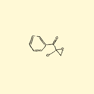 O=C(c1ccccc1)C1(Cl)CO1